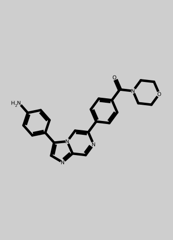 Nc1ccc(-c2cnc3cnc(-c4ccc(C(=O)N5CCOCC5)cc4)cn23)cc1